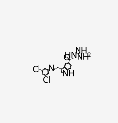 N=C(N)NCC(=O)c1ccc2[nH]cc(CC=Nc3cc(Cl)cc(Cl)c3)c2c1